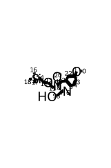 COc1ccc2nc(CO)n(COCC[Si](C)(C)C)c(=O)c2c1